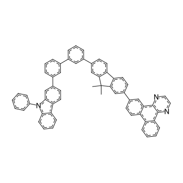 CC1(C)c2cc(-c3cccc(-c4cccc(-c5ccc6c7ccccc7n(-c7ccccc7)c6c5)c4)c3)ccc2-c2ccc(-c3ccc4c5ccccc5c5nccnc5c4c3)cc21